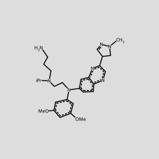 COc1cc(OC)cc(N(CCN(CCCN)C(C)C)c2ccc3ncc(C4C=NN(C)C4)nc3c2)c1